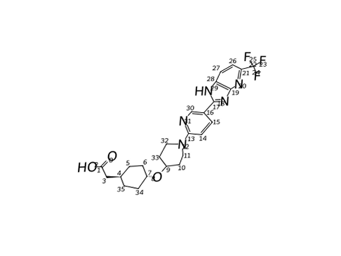 O=C(O)C[C@H]1CC[C@H](OC2CCN(c3ccc(-c4nc5nc(C(F)(F)F)ccc5[nH]4)cn3)CC2)CC1